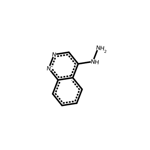 NNc1cnnc2ccccc12